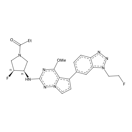 CCC(=O)N1C[C@H](F)[C@H](Nc2nc(OC)c3c(-c4ccc5nnn(CCF)c5c4)ccn3n2)C1